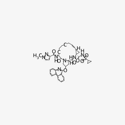 Cn1ccc(C(=O)N[C@H]2CCCCCC=C[C@@H]3C[C@@]3(C(=O)NS(=O)(=O)C3CC3)NC(=O)[C@@H]3C[C@@H](Oc4nc5ccccc5c5ccccc45)CN3C2=O)n1